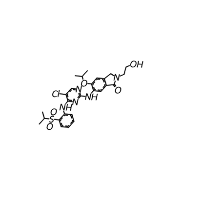 CC(C)Oc1cc2c(cc1Nc1ncc(Cl)c(Nc3ccccc3S(=O)(=O)C(C)C)n1)C(=O)N(CCO)C2